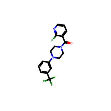 O=C(c1cccnc1F)N1CCN(c2cccc(C(F)(F)F)c2)CC1